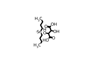 CCC[CH2][Sn][CH2]CCC.O=C(O)C(O)C(O)C(=O)O